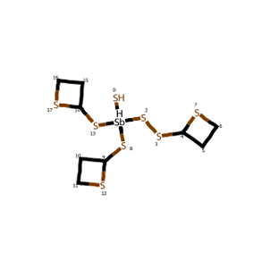 [SH][SbH]([S]SC1CCS1)([S]C1CCS1)[S]C1CCS1